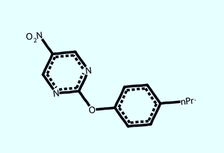 CC[CH]c1ccc(Oc2ncc([N+](=O)[O-])cn2)cc1